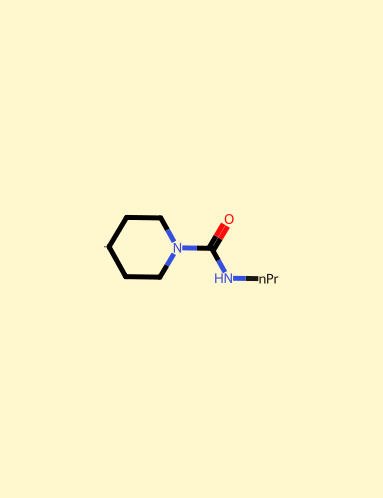 CCCNC(=O)N1CC[CH]CC1